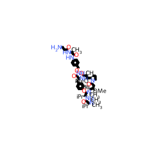 CC[C@H](C)[C@@H]([C@@H](CC(=O)N1CCC[C@H]1[C@H](OC)[C@@H](C)C(=O)N[C@@H](Cc1ccccc1)C(=O)NOCc1ccc(NC(=O)[C@@H](C)NC(=O)CCN)cc1)OC)N(C)C(=O)[C@@H](NC(=O)[C@H](C(C)C)N(C)C)C(C)C